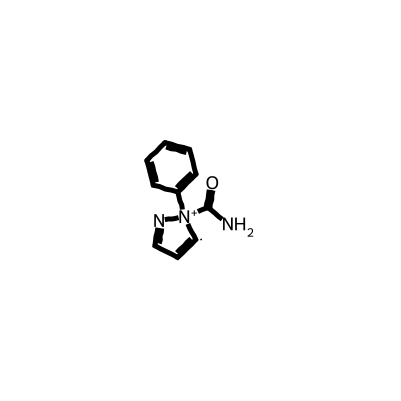 NC(=O)[N+]1(c2ccccc2)[C]=CC=N1